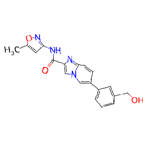 Cc1cc(NC(=O)c2cn3cc(-c4cccc(CO)c4)ccc3n2)no1